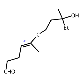 CCC(C)(O)CCC/C(C)=C/CCC=O